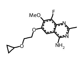 COc1c(OCCOC2CC2)cc2c(N)nc(C)nc2c1F